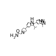 Cc1nnn2ccc(-c3[nH]c4ccc(C5CCN(CC(N)=O)CC5)cc4c3C(C)C)cc12